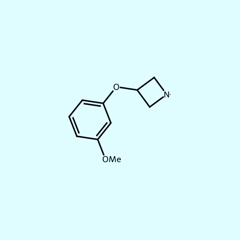 COc1cccc(OC2C[N]C2)c1